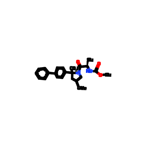 COC1CN(C(=O)[C@@H](NC(=O)OC(C)(C)C)C(C)(C)C)C(C(=O)O)(c2ccc(-c3ccccc3)cc2)C1